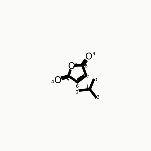 CC(C)C.O=C1C=CC(=O)O1